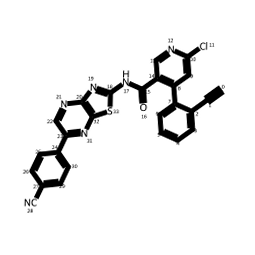 C#Cc1ccccc1-c1cc(Cl)ncc1C(=O)Nc1nc2ncc(-c3ccc(C#N)cc3)nc2s1